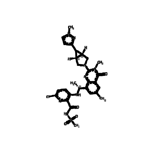 Cc1cc([C@@H](C)Nc2ccc(Cl)nc2C(=O)NS(C)(=O)=O)c2nc(N3C[C@@H]4C(c5ccn(C)n5)[C@@H]4C3)n(C)c(=O)c2c1